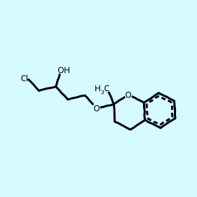 CC1(OCCC(O)CCl)CCc2ccccc2O1